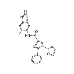 Cc1cc2n[nH]cc2cc1NC(=O)c1cc(-c2ccco2)n(-c2ccccc2)n1